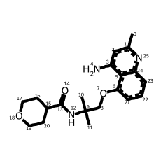 Cc1cc(N)c2c(OCC(C)(C)NC(=O)C3CCOCC3)cccc2n1